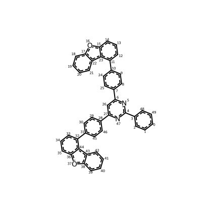 c1ccc(-c2nc(-c3ccc(-c4cccc5oc6ccccc6c45)cc3)cc(-c3ccc(-c4cccc5oc6ccccc6c45)cc3)n2)cc1